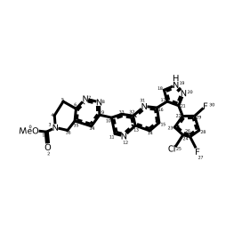 COC(=O)N1CCc2nnc(-c3cnc4ccc(-c5c[nH]nc5-c5cc(Cl)c(F)cc5F)nc4c3)cc2C1